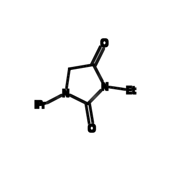 CCN1C(=O)CN(C(C)C)C1=O